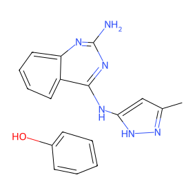 Cc1cc(Nc2nc(N)nc3ccccc23)[nH]n1.Oc1ccccc1